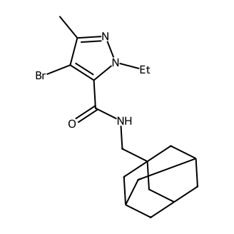 CCn1nc(C)c(Br)c1C(=O)NCC12CC3CC(CC(C3)C1)C2